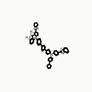 CC1(C)c2ccccc2N(c2ccc(-c3ccc(-c4ccc(N(c5ccc(-c6ccccc6)cc5)c5ccc(-c6nc7ccccc7s6)cc5)cc4)cc3)cc2)c2ccc(-c3nc4ccccc4s3)cc21